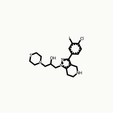 OC(CN1CCSCC1)Cn1nc(-c2ccc(Cl)c(I)c2)c2c1CCNC2